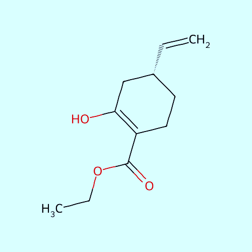 C=C[C@@H]1CCC(C(=O)OCC)=C(O)C1